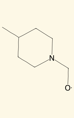 CC1CCN(C[O])CC1